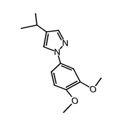 COc1ccc(-n2cc(C(C)C)cn2)cc1OC